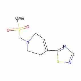 COS(=O)(=O)CN1CC=C(c2ncns2)CC1